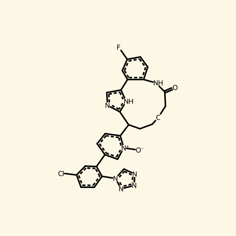 O=C1CCCCC(c2ccc(-c3cc(Cl)ccc3-n3cnnn3)c[n+]2[O-])c2ncc([nH]2)-c2cc(F)ccc2N1